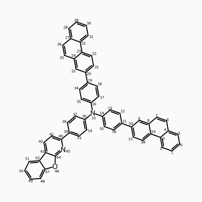 c1ccc2c(c1)ccc1cc(-c3ccc(N(c4ccc(-c5ccc6c(ccc7ccccc76)c5)cc4)c4ccc(-c5ccc6c(n5)oc5ccccc56)cc4)cc3)ccc12